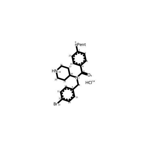 CCCCCc1ccc(C(=O)N(Cc2ccc(Br)cc2)C2CCNCC2)cc1.Cl